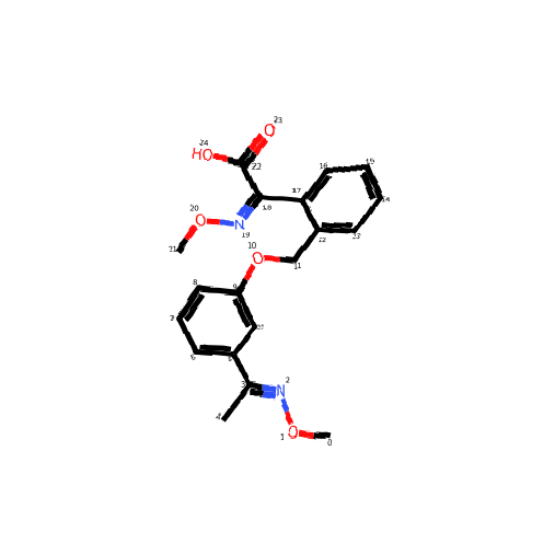 CON=C(C)c1cccc(OCc2ccccc2C(=NOC)C(=O)O)c1